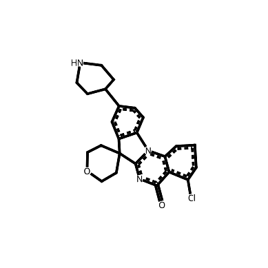 O=c1nc2n(c3cccc(Cl)c13)-c1ccc(C3CCNCC3)cc1C21CCOCC1